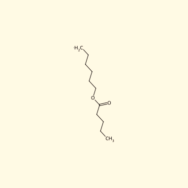 [CH2]CCCCCOC(=O)CCCC